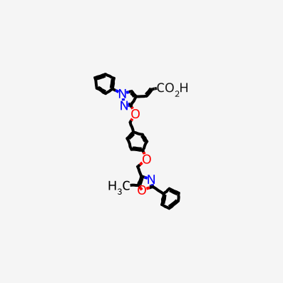 Cc1oc(-c2ccccc2)nc1COc1ccc(COc2nn(-c3ccccc3)cc2C=CC(=O)O)cc1